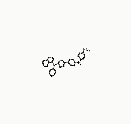 CN(c1ccc(-c2ccc(N(c3ccccc3)c3cccc4ccccc34)cc2)cc1)c1ccc([N+](=O)[O-])cc1